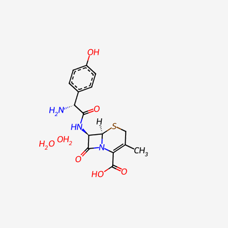 CC1=C(C(=O)O)N2C(=O)[C@@H](NC(=O)[C@H](N)c3ccc(O)cc3)[C@H]2SC1.O.O